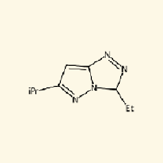 CCC1N=Nc2cc(C(C)C)nn21